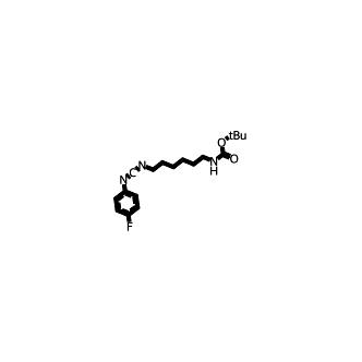 CC(C)(C)OC(=O)NCCCCCCN=C=Nc1ccc(F)cc1